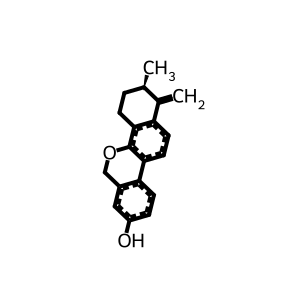 C=C1c2ccc3c(c2CC[C@H]1C)OCc1cc(O)ccc1-3